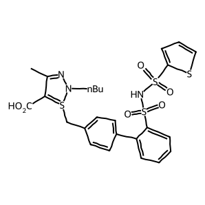 CCCCN1N=C(C)C(C(=O)O)=S1Cc1ccc(-c2ccccc2S(=O)(=O)NS(=O)(=O)c2cccs2)cc1